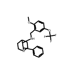 COc1ccc(OC(F)(F)F)cc1CNC1C2CCN(CC2)C1c1ccccc1